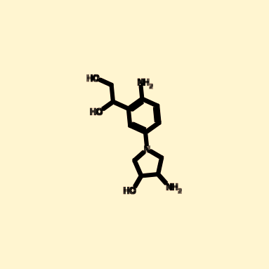 Nc1ccc(N2CC(N)C(O)C2)cc1C(O)CO